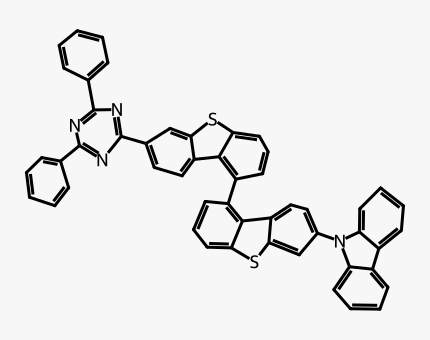 c1ccc(-c2nc(-c3ccccc3)nc(-c3ccc4c(c3)sc3cccc(-c5cccc6sc7cc(-n8c9ccccc9c9ccccc98)ccc7c56)c34)n2)cc1